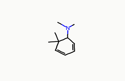 CN(C)C1C=CC=CC1(C)C